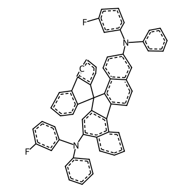 Fc1cccc(N(c2ccccc2)c2ccc3c4c(ccc3c2)-c2c(cc(N(c3ccccc3)c3cccc(F)c3)c3ccccc23)C42c3ccccc3-c3ccccc32)c1